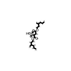 CCCC(C)CCOC(=O)CC(C(=O)OCCC(C)CCC)S(=O)(=O)O